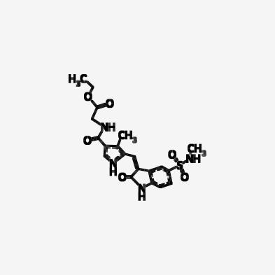 CCOC(=O)CNC(=O)c1c[nH]c(C=C2C(=O)Nc3ccc(S(=O)(=O)NC)cc32)c1C